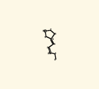 CC/N=C\C=C1\CCOC1